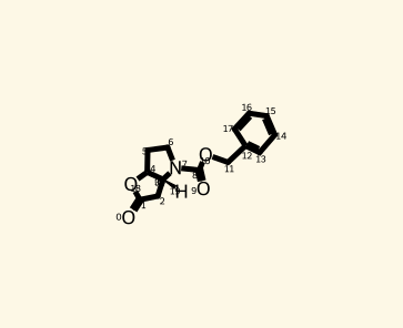 O=C1C[C@@H]2C(CCN2C(=O)OCc2ccccc2)O1